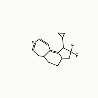 FC1(F)CC2CCC3CC=NC=CC3=C2C1C1CC1